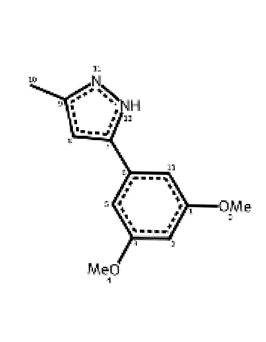 COc1cc(OC)cc(-c2cc(C)n[nH]2)c1